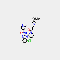 COC1CN(C/C=C/C(=O)N2CCCCC(n3c(NC(=O)c4ccnc(C)c4)nc4cccc(Cl)c43)C2)C1